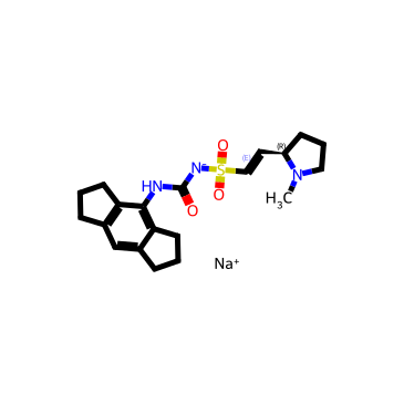 CN1CCC[C@@H]1/C=C/S(=O)(=O)[N-]C(=O)Nc1c2c(cc3c1CCC3)CCC2.[Na+]